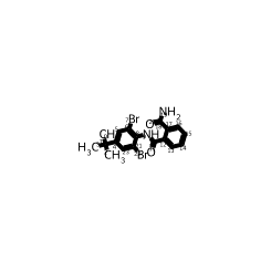 CC(C)(C)c1cc(Br)c(NC(=O)c2ccccc2C(N)=O)c(Br)c1